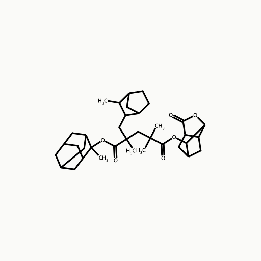 CC1C2CCC(C2)C1CC(C)(CC(C)(C)C(=O)OC1C2CC3C(=O)OC1C3C2)C(=O)OC1(C)C2CC3CC(C2)CC1C3